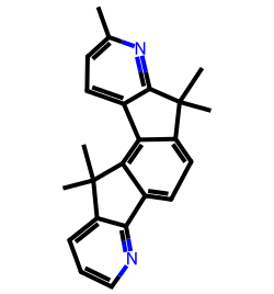 Cc1ccc2c(n1)C(C)(C)c1ccc3c(c1-2)C(C)(C)c1cccnc1-3